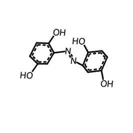 Oc1ccc(O)c(N=Nc2cc(O)ccc2O)c1